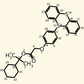 CC(C)(OC(=O)COc1ccc([S+]2c3ccccc3Sc3ccccc32)cc1)C1CCCCC1